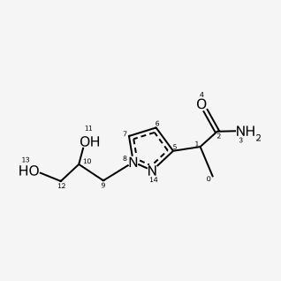 CC(C(N)=O)c1ccn(CC(O)CO)n1